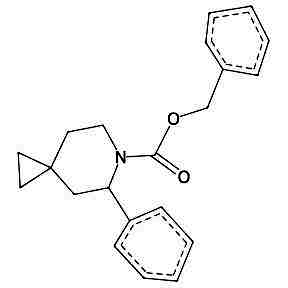 O=C(OCc1ccccc1)N1CCC2(CC2)CC1c1ccccc1